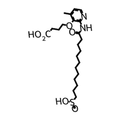 Cc1ccnc(NC(=O)CCCCCCCCCCCS(=O)O)c1OCCCC(=O)O